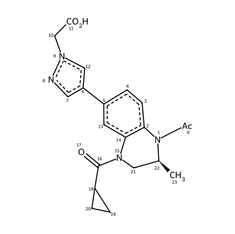 CC(=O)N1c2ccc(-c3cnn(CC(=O)O)c3)cc2N(C(=O)C2CC2)C[C@@H]1C